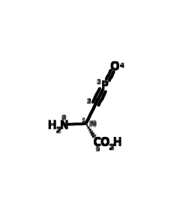 N[C@H](C#P=O)C(=O)O